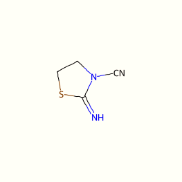 N#CN1CCSC1=N